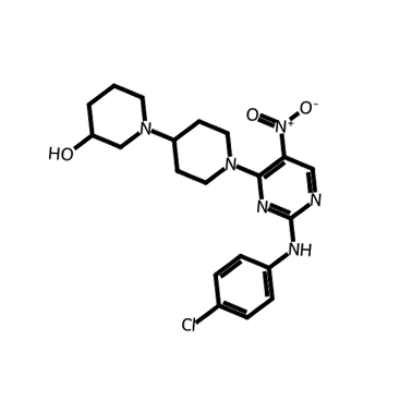 O=[N+]([O-])c1cnc(Nc2ccc(Cl)cc2)nc1N1CCC(N2CCCC(O)C2)CC1